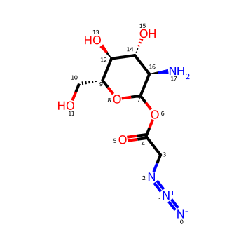 [N-]=[N+]=NCC(=O)OC1O[C@H](CO)[C@@H](O)[C@H](O)[C@H]1N